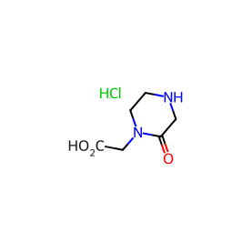 Cl.O=C(O)CN1CCNCC1=O